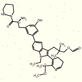 CCn1c(C2=C([C@H](C)OC)N=CCC2)c(CC(C)(C)COC=O)c2cc(-c3cc(O)cc(C[C@H](N)C(=O)N4CCCCN4)c3)ccc21